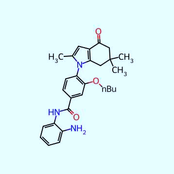 CCCCOc1cc(C(=O)Nc2ccccc2N)ccc1-n1c(C)cc2c1CC(C)(C)CC2=O